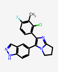 Cc1c(F)ccc(-c2nc3n(c2-c2ccc4[nH]ncc4c2)CCC3)c1Cl